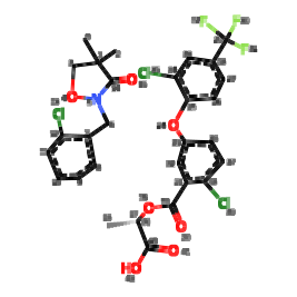 CC1(C)CON(Cc2ccccc2Cl)C1=O.C[C@H](OC(=O)c1cc(Oc2ccc(C(F)(F)F)cc2Cl)ccc1Cl)C(=O)O